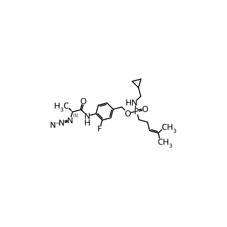 CC(C)=CCCP(=O)(NCC1CC1)OCc1ccc(NC(=O)[C@H](C)N=[N+]=[N-])c(F)c1